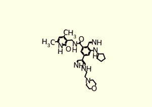 Cc1cc(C)c(CNC(=O)c2cc(/C(C=N)=C/NCCN3CCOCC3)cc(NC3CCCC3)c2C=N)c(=O)[nH]1